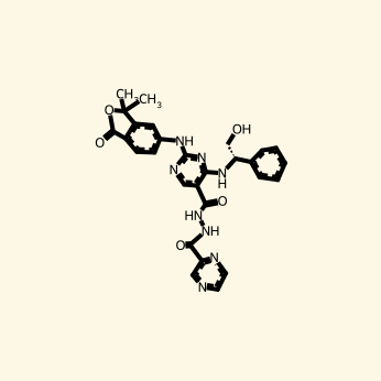 CC1(C)OC(=O)c2ccc(Nc3ncc(C(=O)NNC(=O)c4cnccn4)c(N[C@H](CO)c4ccccc4)n3)cc21